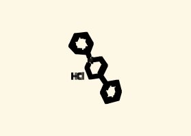 C1=C(c2ccccc2)CCN(c2ccccc2)C1.Cl